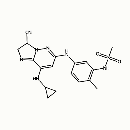 Cc1ccc(NC2=NN3C(=NCC3C#N)C(NC3CC3)=C2)cc1NS(C)(=O)=O